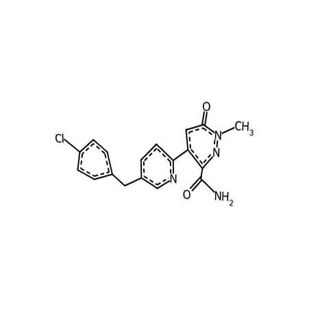 Cn1nc(C(N)=O)c(-c2ccc(Cc3ccc(Cl)cc3)cn2)cc1=O